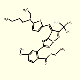 CCCCN(CC)c1ccc(/C=c2/c(C(C)(C)C)nn3nc(-c4cc(OC)ccc4C(=O)OSN)nc23)s1